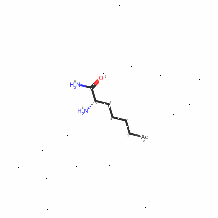 CC(=O)CCCC[C@H](N)C(N)=O